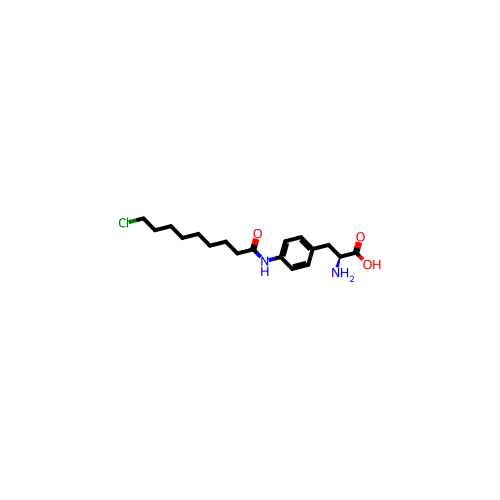 N[C@@H](Cc1ccc(NC(=O)CCCCCCCCCl)cc1)C(=O)O